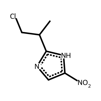 CC(CCl)c1ncc([N+](=O)[O-])[nH]1